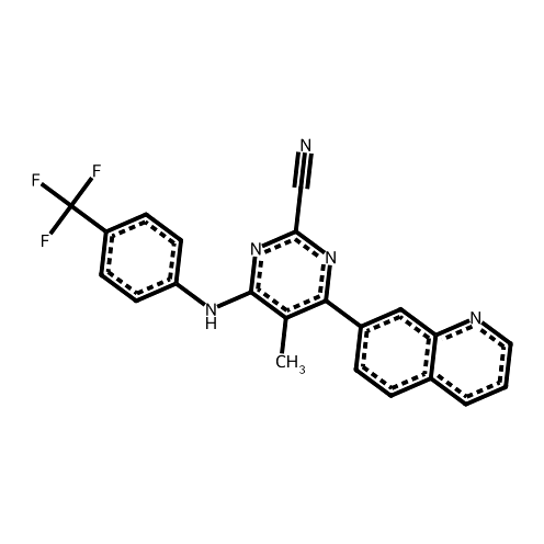 Cc1c(Nc2ccc(C(F)(F)F)cc2)nc(C#N)nc1-c1ccc2cccnc2c1